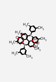 Cc1cc(C)cc(P(c2cc(C)cc(C)c2)c2cc(C)c(Cl)c(C)c2-c2c(P(c3cc(C)cc(C)c3)c3cc(C)cc(C)c3)cc(C)c(Cl)c2C)c1